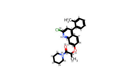 Cc1ccccc1-c1cc(Cl)nc2cc(OC(C)C(=O)N3CCCCC3)ccc12